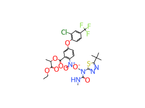 CCOC(=O)C(C)OC(=O)c1cc(Oc2ccc(C(F)(F)F)cc2Cl)ccc1[N+](=O)[O-].CNC(=O)N(C)c1nnc(C(C)(C)C)s1